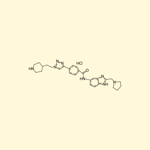 Cl.O=C(Nc1ccc2[nH]c(CN3CCCC3)nc2c1)c1ccc(-c2cn(CCC3CCNCC3)nn2)cc1